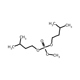 COP(=O)(OCCC(C)C)OCCC(C)C